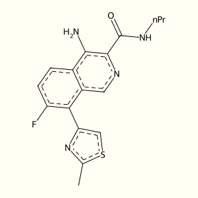 CCCNC(=O)c1ncc2c(-c3csc(C)n3)c(F)ccc2c1N